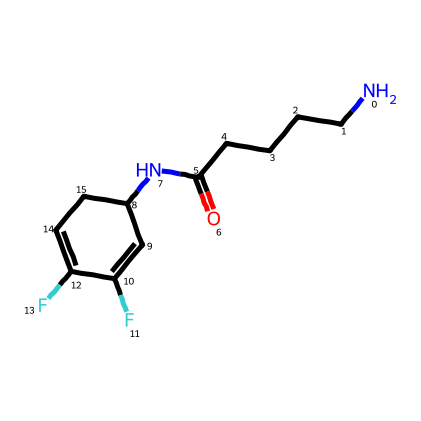 NCCCCC(=O)NC1C=C(F)C(F)=CC1